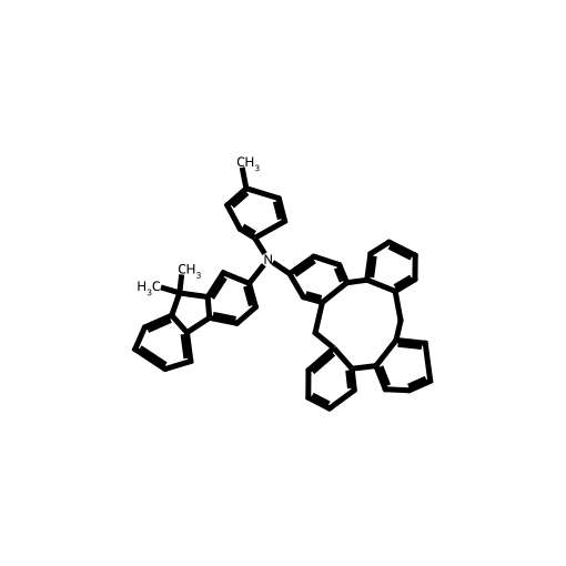 Cc1ccc(N(c2ccc3c(c2)Cc2ccccc2-c2ccccc2Cc2ccccc2-3)c2ccc3c(c2)C(C)(C)c2ccccc2-3)cc1